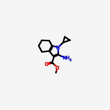 COC(=O)c1c2c(n(C3CC3)c1N)CCCC2